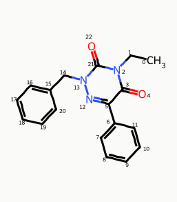 CCn1c(=O)c(-c2ccccc2)nn(Cc2ccccc2)c1=O